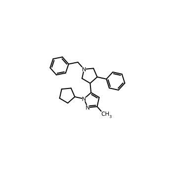 Cc1cc(C2CN(Cc3ccccc3)CC2c2ccccc2)n(C2CCCC2)n1